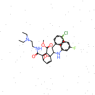 CCN(CC)CCNC(=O)C1=C(C(=O)OC)C2(C(Cc3ccc(Cl)cc3)Nc3cc(F)cc(F)c3)C=CC1O2